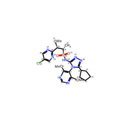 COc1ncnc(OC)c1-n1c(NS(=O)(=O)[C@@H](C)[C@H](OC)c2ncc(Cl)cn2)nnc1C1CCCC1